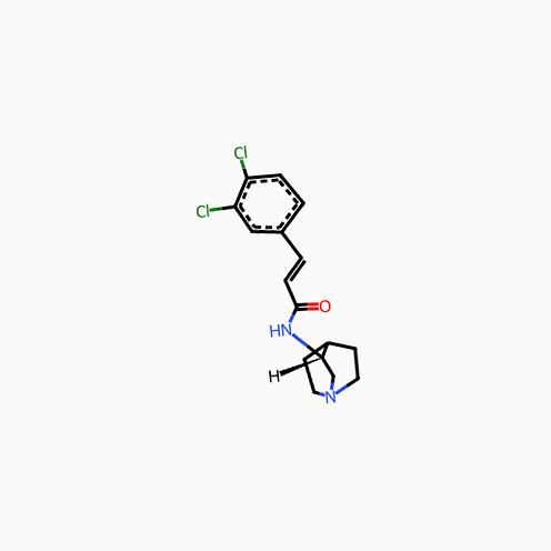 O=C(C=Cc1ccc(Cl)c(Cl)c1)N[C@H]1CN2CCC1CC2